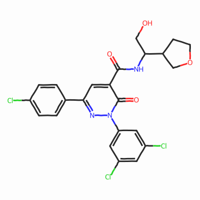 O=C(NC(CO)C1CCOC1)c1cc(-c2ccc(Cl)cc2)nn(-c2cc(Cl)cc(Cl)c2)c1=O